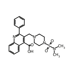 CN(C)S(=O)(=O)N1CCN(Cc2c(-c3ccccc3)nc3ccccc3c2C(=O)O)CC1